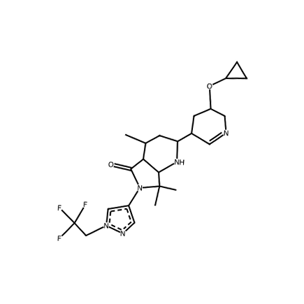 CC1CC(C2C=NCC(OC3CC3)C2)NC2C1C(=O)N(c1cnn(CC(F)(F)F)c1)C2(C)C